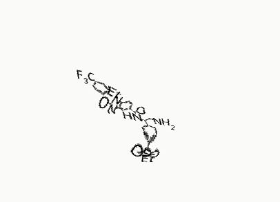 CCn1c(Oc2ccc(C(F)(F)F)cc2)nc2cc(C(=O)N[C@@H](CN)c3ccc(S(=O)(=O)CC)cc3)ccc21